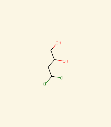 OCC(O)CC(Cl)Cl